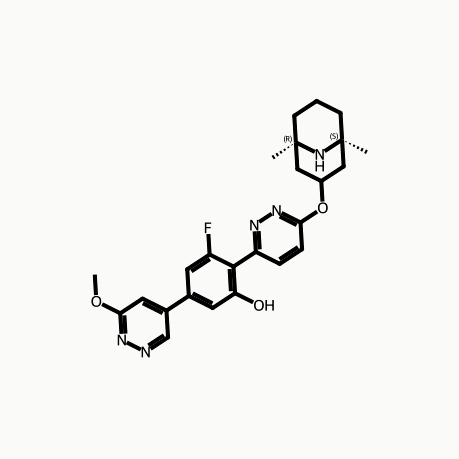 COc1cc(-c2cc(O)c(-c3ccc(OC4C[C@]5(C)CCC[C@](C)(C4)N5)nn3)c(F)c2)cnn1